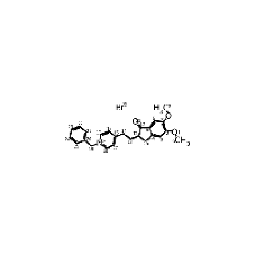 COc1cc2c(cc1OC)C(=O)C(CCc1cc[n+](Cc3ccccc3)cc1)C2.[Br-]